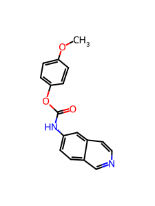 COc1ccc(OC(=O)Nc2ccc3cnccc3c2)cc1